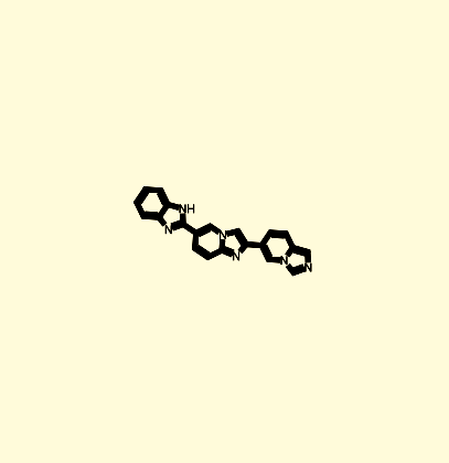 c1ccc2[nH]c(-c3ccc4nc(-c5ccc6cncn6c5)cn4c3)nc2c1